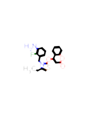 CCC1=CSC(Oc2cc(=O)oc3ccccc23)N1Cc1cccc(N)c1F